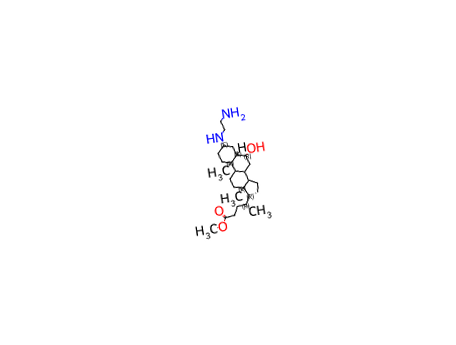 COC(=O)CC[C@@H](C)[C@H]1CCC2C3C[C@@H](O)[C@H]4C[C@@H](NCCN)CC[C@]4(C)C3CC[C@@]21C